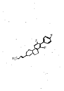 CCC=CC1CCC2c3cc(F)c(-c4ccc(F)cc4)c(F)c3CCC2C1